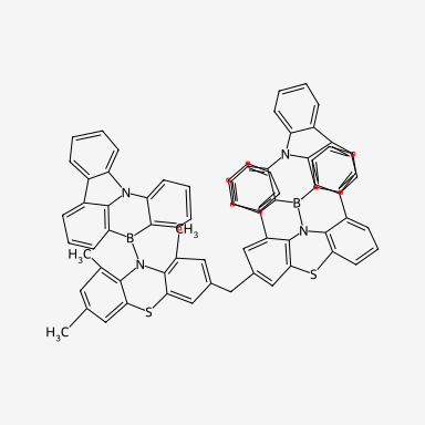 Cc1cc(C)c2c(c1)Sc1cc(Cc3cc4c(c(-c5ccccc5)c3)N(B3c5ccccc5-n5c6ccccc6c6cccc3c65)c3c(cccc3-c3ccccc3)S4)cc(C)c1N2B1c2ccccc2-n2c3ccccc3c3cccc1c32